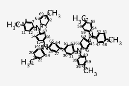 CC1=CCC(N(c2ccc(C)cc2)c2ccc(N(c3ccc(C)cc3)c3ccc(-c4ccc(N(c5ccc(C)cc5)c5ccc(N(c6ccc(C)cc6)c6ccc(C)cc6)cc5)cc4)cc3)cc2)C=C1